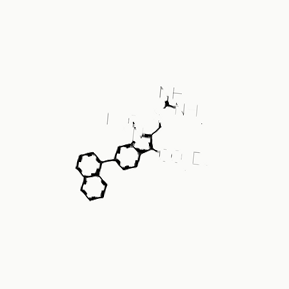 CCOC(=O)c1c(CSC(=N)N)n(C)c2cc(-c3cccc4ccccc34)ccc12